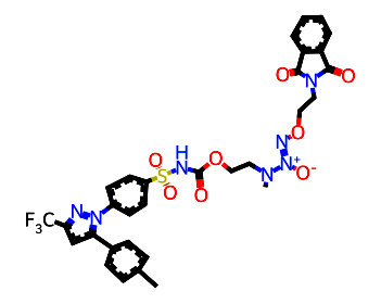 Cc1ccc(-c2cc(C(F)(F)F)nn2-c2ccc(S(=O)(=O)NC(=O)OCCN(C)/[N+]([O-])=N/OCCN3C(=O)c4ccccc4C3=O)cc2)cc1